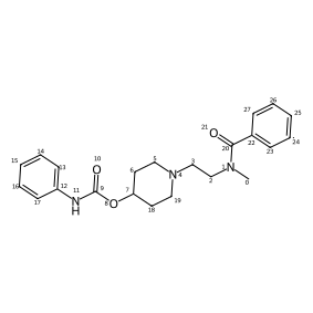 CN(CCN1CCC(OC(=O)Nc2ccccc2)CC1)C(=O)c1c[c]ccc1